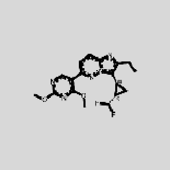 CCc1nc2ccc(-c3cnc(OC)nc3OC)nn2c1[C@H]1C[C@@H]1C(F)F